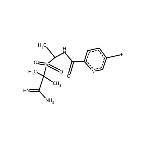 CC(NC(=O)c1ccc(F)cn1)S(=O)(=O)C(C)(C)C(=N)N